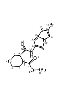 CC(C)(C)OC(=O)N1CCOC[C@H]1C(=O)Nc1cc2sc(Br)cn2c1